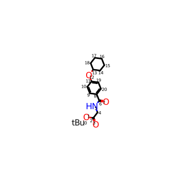 CC(C)(C)OC(=O)CNC(=O)c1ccc(OC2CCCCC2)cc1